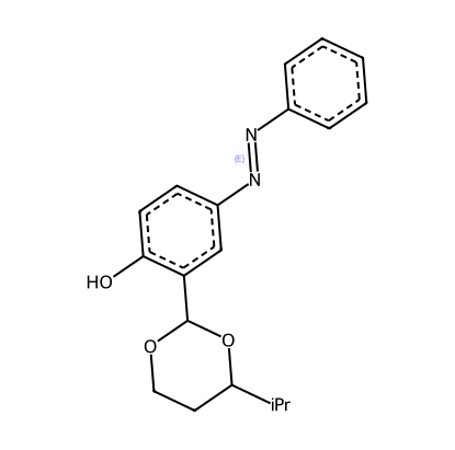 CC(C)C1CCOC(c2cc(/N=N/c3ccccc3)ccc2O)O1